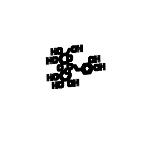 OC[C@H]1O[C@@H](OCCc2ccc(O)c(O)c2)[C@H](O[C@@H]2OC[C@@H](O)[C@H](O)[C@H]2O)[C@H](O)[C@@H]1O